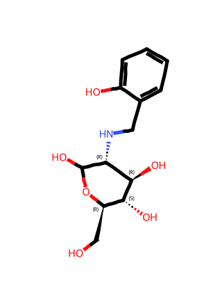 OC[C@H]1OC(O)[C@H](NCc2ccccc2O)[C@@H](O)[C@@H]1O